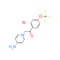 Nc1cc[n+](CC(=O)c2ccc(OC(F)(F)F)cc2)cc1.[Br-]